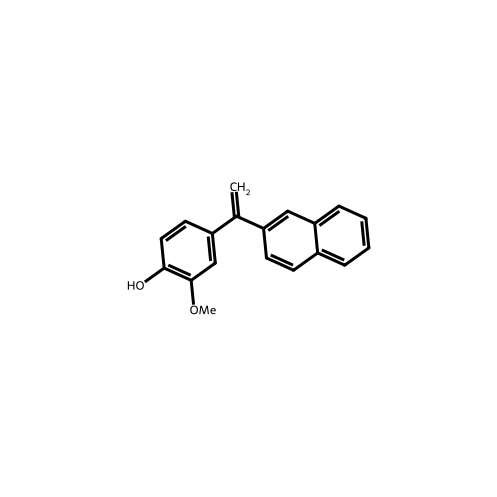 C=C(c1ccc(O)c(OC)c1)c1ccc2ccccc2c1